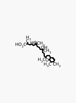 CC(CCCC(C)(O)CCCC(C)(O)CCCC1(C)CCC2C=CC(C)C(C)C2O1)C(=O)O